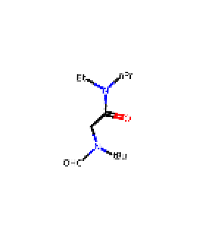 CCCN(CC)C(=O)CN([C]=O)C(C)(C)C